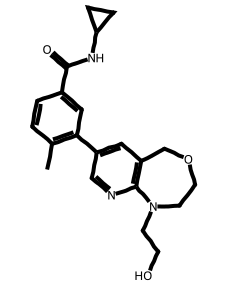 Cc1ccc(C(=O)NC2CC2)cc1-c1cnc2c(c1)COCCN2CCO